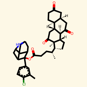 Cc1cc(C2(OC(=O)CC[C@@H](C)[C@H]3CC[C@H]4[C@@H]5C(=O)C[C@@H]6CC(=O)CC[C@]6(C)[C@H]5CC(=O)[C@]34C)C3CC4CC2CC(C3)N4)ccc1Cl